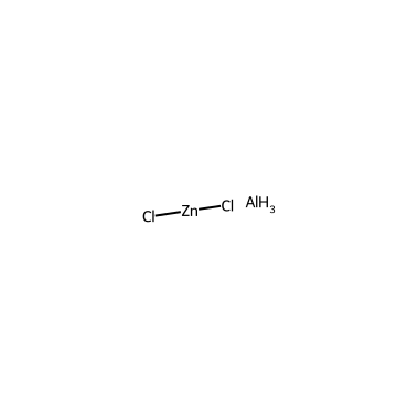 [AlH3].[Cl][Zn][Cl]